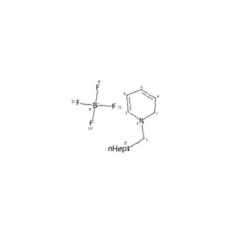 CCCCCCCCN1C=CC=CC1.F[B-](F)(F)F